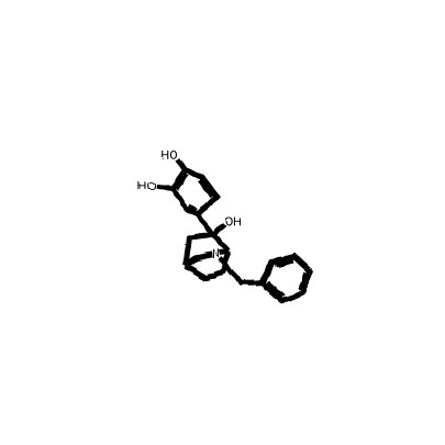 Oc1ccc(C2(O)CC3CCC2N(Cc2ccccc2)C3)cc1O